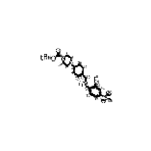 CC(C)(C)OC(=O)N1CCN(C2CCC(CNc3ccc(S(C)(=O)=O)cc3F)CC2)CC1